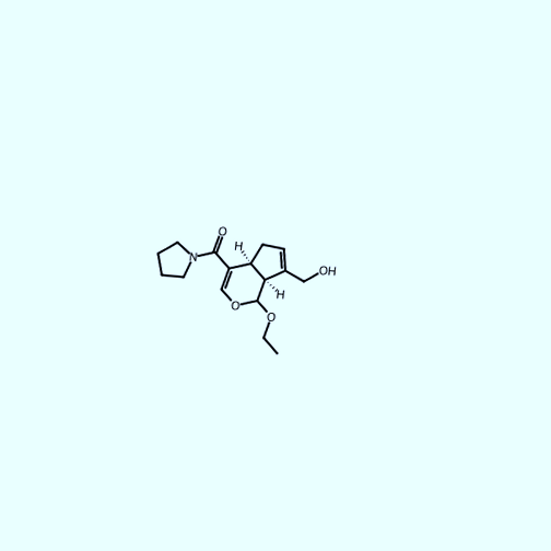 CCOC1OC=C(C(=O)N2CCCC2)[C@H]2CC=C(CO)[C@@H]12